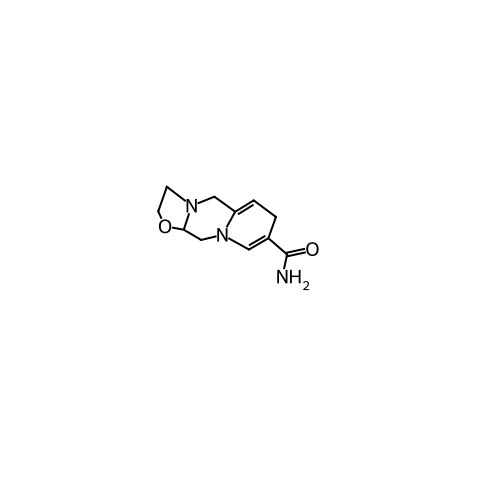 NC(=O)C1=CN2CC3OCCN3CC2=CC1